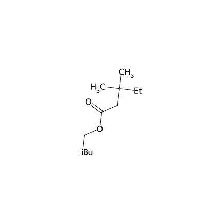 CCC(C)COC(=O)CC(C)(C)CC